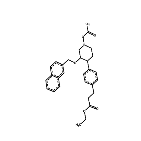 CCOC(=O)CCc1ccc(C2CCN(OC(=O)O)CC2OCc2ccc3ccccc3c2)cc1